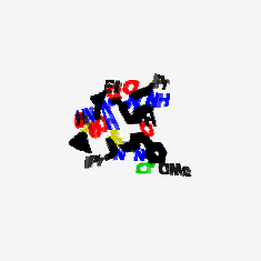 CC[C@@H]1C[C@]1(NC(=O)[C@@H]1C[C@@H](Oc2cc(-c3nc(C(C)C)cs3)nc3c(Cl)c(OC)ccc23)[C@H]2CN[C@H](C(C)C)C(=O)N21)C(=O)NS(=O)(=O)C1CC1